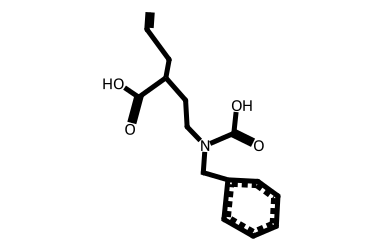 C=CCC(CCN(Cc1ccccc1)C(=O)O)C(=O)O